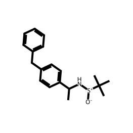 CC(N[S+]([O-])C(C)(C)C)c1ccc(Cc2ccccc2)cc1